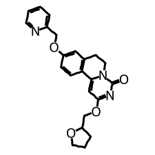 O=c1nc(OCC2CCCO2)cc2n1CCc1cc(OCc3ccccn3)ccc1-2